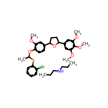 CCCNCCC.COc1cc(C2CCC(c3cc(OC)c(OC)c(OC)c3)O2)ccc1OC(C)Sc1ccccc1Br